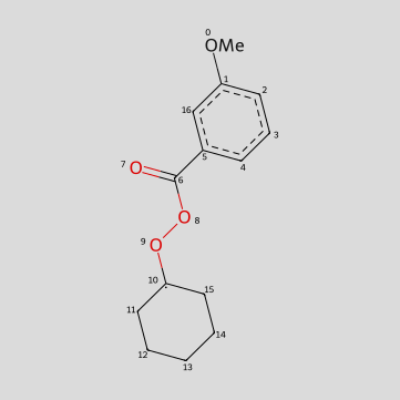 COc1cccc(C(=O)OO[C]2CCCCC2)c1